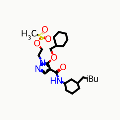 CCC(C)CC1CCCC(NC(=O)c2cnn(CCOS(C)(=O)=O)c2OCC2CCCCC2)C1